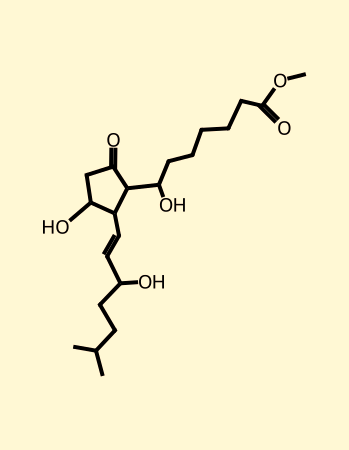 COC(=O)CCCCCC(O)C1C(=O)CC(O)C1C=CC(O)CCC(C)C